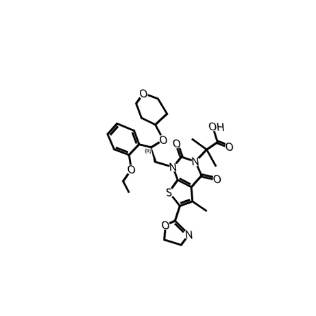 CCOc1ccccc1[C@H](Cn1c(=O)n(C(C)(C)C(=O)O)c(=O)c2c(C)c(C3=NCCO3)sc21)OC1CCOCC1